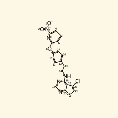 O=[N+]([O-])c1cccc(Oc2ccc(CCNc3ncnc4scc(Cl)c34)cc2)n1